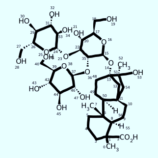 CC1(C(=O)O)CCC[C@@]2(C)[C@H]1CC[C@]13C[C@@](O[C@@H]4O[C@H](CO)[C@@H](O)[C@H](O[C@@H]5O[C@H](CO)[C@@H](O)[C@H](O)[C@H]5O)[C@H]4O[C@@H]4O[C@H](CO)[C@@H](O)[C@H](O)[C@H]4O)(CC[C@@H]12)[C@@](C)(O)C3